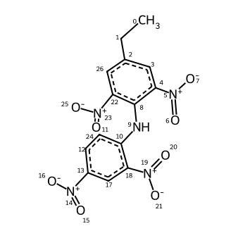 CCc1cc([N+](=O)[O-])c(Nc2ccc([N+](=O)[O-])cc2[N+](=O)[O-])c([N+](=O)[O-])c1